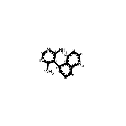 Nc1ncnc(N)c1-c1cccc2ncccc12